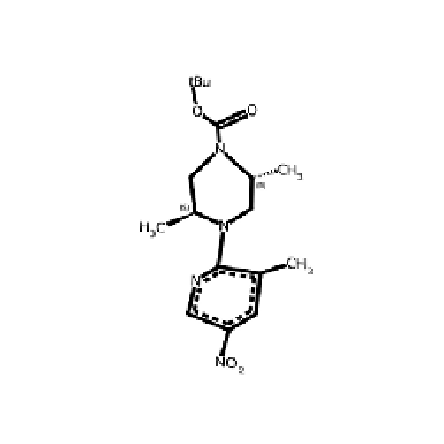 Cc1cc([N+](=O)[O-])cnc1N1C[C@@H](C)N(C(=O)OC(C)(C)C)C[C@@H]1C